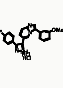 COc1cccc(-c2cnc3ccc(-c4c[nH]nc4-c4ccc(F)cc4)cn23)c1.Cl.Cl